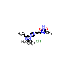 CCCc1cc(N2CCN(CCCCn3nc(C)c(=O)[nH]c3=O)CC2)nc(C(C)(C)C)n1.Cl